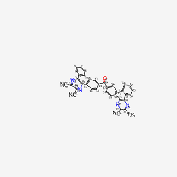 N#Cc1nc(-c2ccccc2)c(-c2ccc(C(=O)c3ccc(-c4nc(C#N)c(C#N)nc4-c4ccccc4)cc3)cc2)nc1C#N